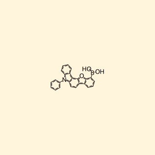 OB(O)c1cccc2c1oc1c2ccc2c1c1ccccc1n2-c1ccccc1